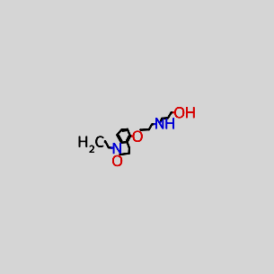 C=CCN1C(=O)CCc2c(OCCCNCCCO)cccc21